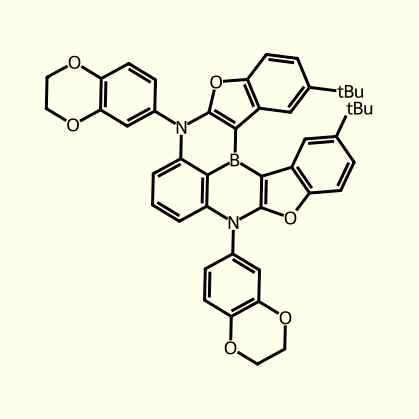 CC(C)(C)c1ccc2oc3c(c2c1)B1c2c(cccc2N(c2ccc4c(c2)OCCO4)c2oc4ccc(C(C)(C)C)cc4c21)N3c1ccc2c(c1)OCCO2